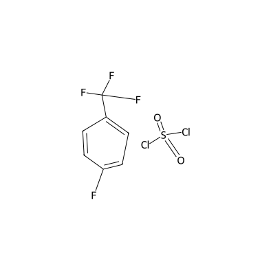 Fc1ccc(C(F)(F)F)cc1.O=S(=O)(Cl)Cl